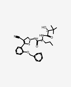 CCC[C@H](NC(=O)[C@@H](O)C(C)(C)C)C(=O)NN1CC(C#N)=C(c2ccccc2OCc2ccccc2)S1